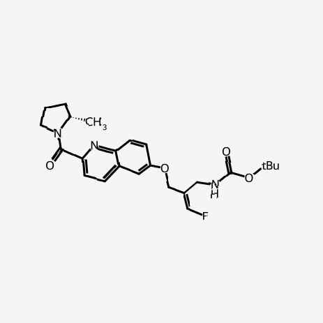 C[C@H]1CCCN1C(=O)c1ccc2cc(OC/C(=C/F)CNC(=O)OC(C)(C)C)ccc2n1